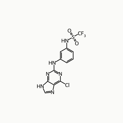 O=S(=O)(Nc1cccc(Nc2nc(Cl)c3nc[nH]c3n2)c1)C(F)(F)F